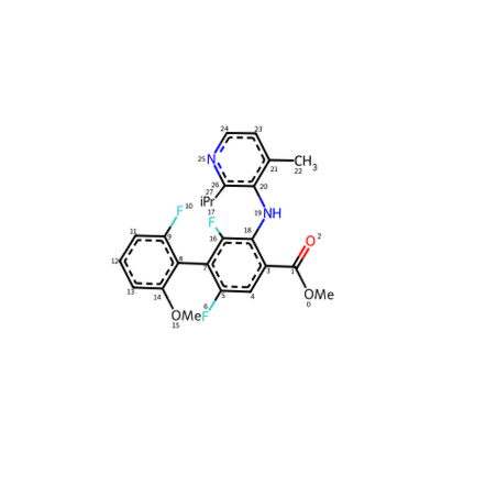 COC(=O)c1cc(F)c(-c2c(F)cccc2OC)c(F)c1Nc1c(C)ccnc1C(C)C